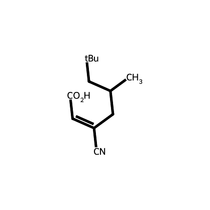 CC(CC(C#N)=CC(=O)O)CC(C)(C)C